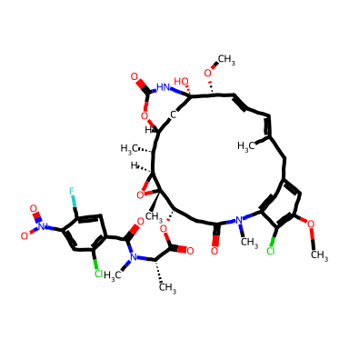 COc1cc2cc(c1Cl)N(C)C(=O)C[C@H](OC(=O)[C@H](C)N(C)C(=O)c1cc(F)c([N+](=O)[O-])cc1Cl)[C@]1(C)O[C@H]1[C@H](C)[C@@H]1C[C@@](O)(NC(=O)O1)[C@H](OC)/C=C/C=C(\C)C2